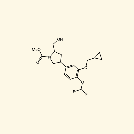 COC(=O)N1CC(c2ccc(OC(F)F)c(OCC3CC3)c2)CC1CO